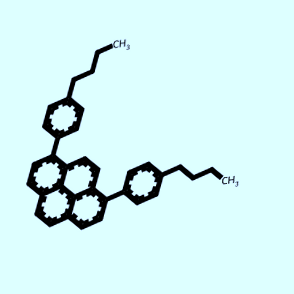 CCCCc1ccc(-c2ccc3ccc4ccc(-c5ccc(CCCC)cc5)c5ccc2c3c45)cc1